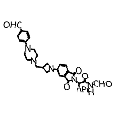 CCCC(C(=O)NC=O)N1C(=O)c2ccc(N3CC(CN4CCN(c5ccc(C=O)cc5)CC4)C3)cc2C1=O